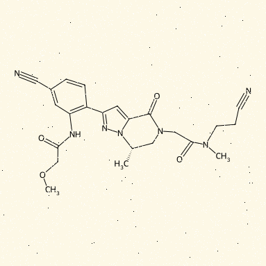 COCC(=O)Nc1cc(C#N)ccc1-c1cc2n(n1)[C@@H](C)CN(CC(=O)N(C)CCC#N)C2=O